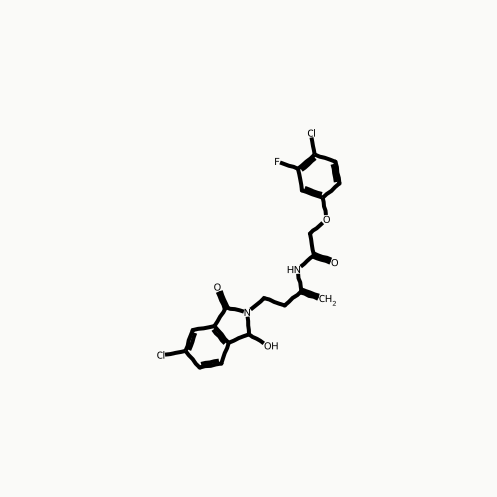 C=C(CCN1C(=O)c2cc(Cl)ccc2C1O)NC(=O)COc1ccc(Cl)c(F)c1